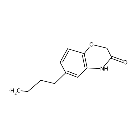 [CH2]CCCc1ccc2c(c1)NC(=O)CO2